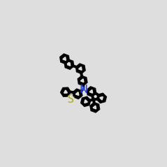 c1ccc(C2(c3ccccc3)c3ccccc3-c3ccc(N(c4ccc(-c5cccc(-c6ccc7ccccc7c6)c5)cc4)c4ccc5sc6ccccc6c5c4)cc32)cc1